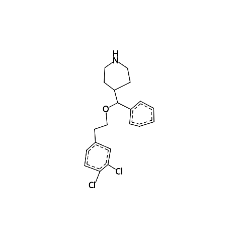 Clc1ccc(CCOC(c2ccccc2)C2CCNCC2)cc1Cl